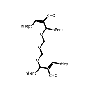 CCCCCCCC=C(C=O)C(CCCCC)OCOCOC(CCCCC)C(C=O)=CCCCCCCC